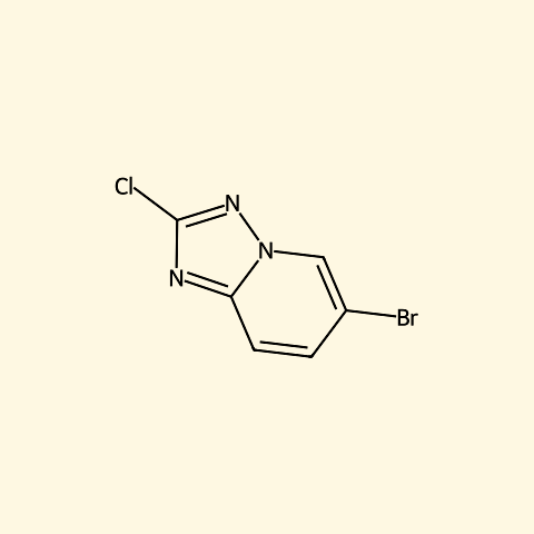 Clc1nc2ccc(Br)cn2n1